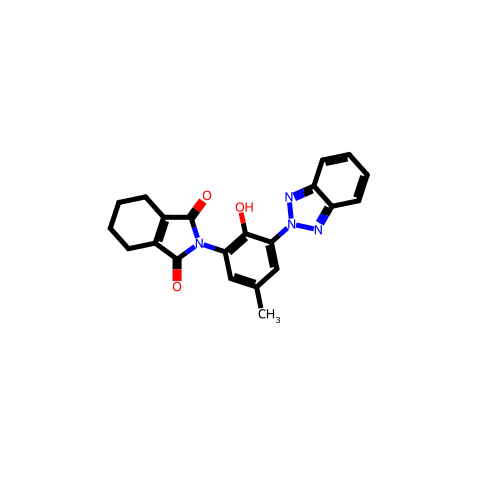 Cc1cc(N2C(=O)C3=C(CCCC3)C2=O)c(O)c(-n2nc3ccccc3n2)c1